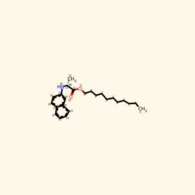 CCCCCCCCCCCOC(=O)[C@@H](C)Nc1ccc2ccccc2c1